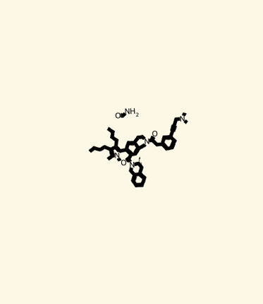 CCCCc1c(CCCC)c(-c2cc3c(cc2C(=O)N2Cc4ccccc4C[C@H]2C)CN(C(=O)Cc2cccc(C#CCN(C)C)c2)CC3)n(C)c1C.NC=O